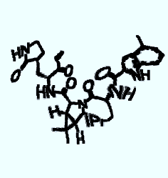 C=CC(=O)[C@H](C[C@@H]1CCNC1=O)NC(=O)[C@@H]1[C@@H]2[C@H](CN1C(=O)C(CC(C)C)NC(=O)c1cc3c(C)cccc3[nH]1)C2(C)C